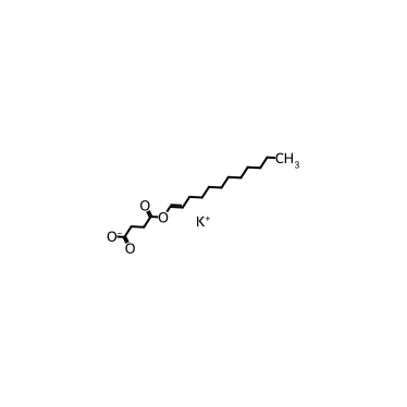 CCCCCCCCCC/C=C/OC(=O)CCC(=O)[O-].[K+]